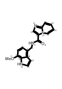 COc1ccc(CNC(=O)c2cnc3ccccn23)c2cc[nH]c12